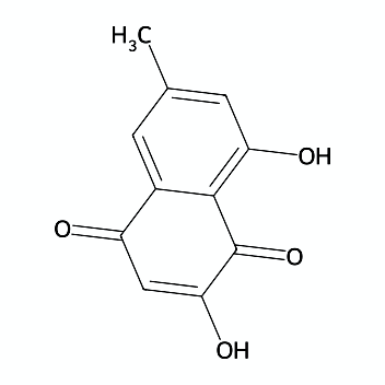 Cc1cc(O)c2c(c1)C(=O)C=C(O)C2=O